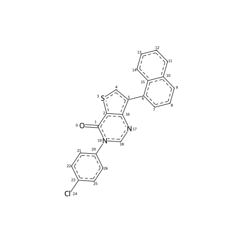 O=c1c2scc(-c3cccc4ccccc34)c2ncn1-c1ccc(Cl)cc1